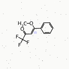 CO/C(=C\C(=O)C(F)(F)F)c1ccccc1